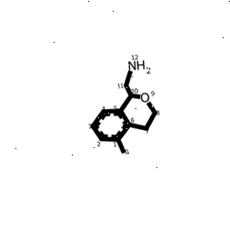 Cc1cccc2c1CCOC2CN